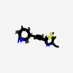 Cc1csc(C#Cc2cccnc2)n1